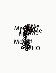 COOP(=O)(OOC)C(O)(CCNC(=O)Nc1ccc(CC(=O)N[C@]2(OC)C(=O)N3C(C(=O)OC(c4ccccc4)c4ccccc4)=C(COC=O)CS[C@H]32)s1)P(=O)(OOC)OOC